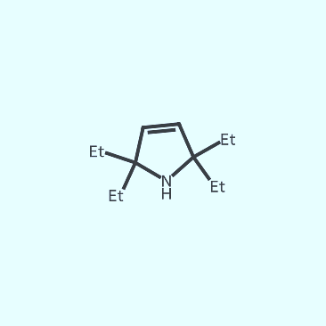 CCC1(CC)C=CC(CC)(CC)N1